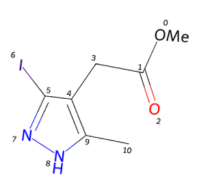 COC(=O)Cc1c(I)n[nH]c1C